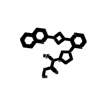 CN(C(=O)OC(C)(C)C)[C@@H]1CCN(c2nccnc2C2CN(c3ccc4ccccc4n3)C2)C1